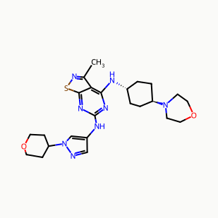 Cc1nsc2nc(Nc3cnn(C4CCOCC4)c3)nc(N[C@H]3CC[C@H](N4CCOCC4)CC3)c12